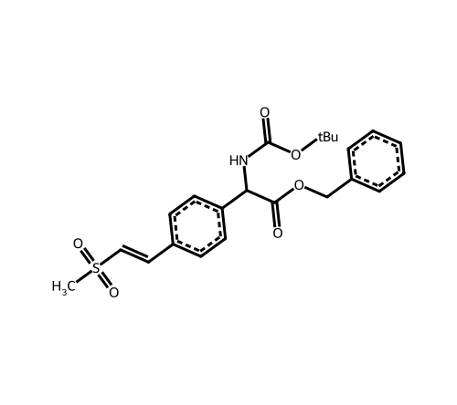 CC(C)(C)OC(=O)NC(C(=O)OCc1ccccc1)c1ccc(C=CS(C)(=O)=O)cc1